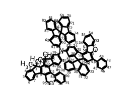 CC1(C)c2ccccc2-c2c3c(c4c(c21)C(C)(C)c1cc(N(c2ccc5c(c2)C(c2ccccc2)(c2ccccc2)c2cc(-c6ccccc6)c6oc7ccccc7c6c2-5)c2ccc5c(c2)C2(c6ccccc6-c6ccccc62)c2ccccc2-5)ccc1-4)-c1ccccc1OC3